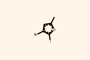 Cc1cc(Br)c(I)o1